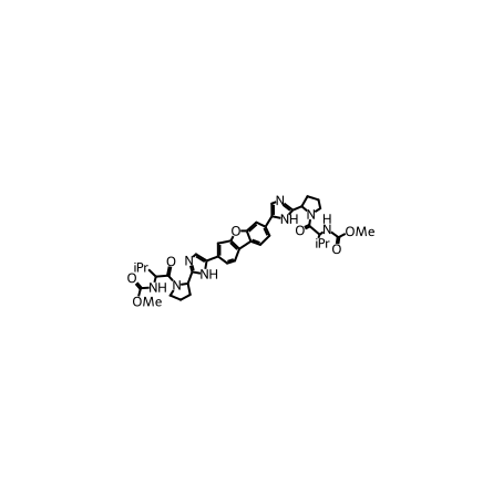 COC(=O)NC(C(=O)N1CCCC1c1ncc(-c2ccc3c(c2)oc2cc(-c4cnc(C5CCCN5C(=O)C(NC(=O)OC)C(C)C)[nH]4)ccc23)[nH]1)C(C)C